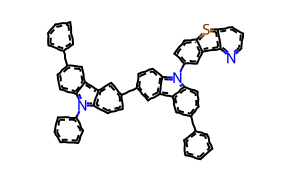 c1ccc(-c2ccc3c(c2)c2cc(-c4ccc5c(c4)c4cc(-c6ccccc6)ccc4n5-c4ccc5sc6cccnc6c5c4)ccc2n3-c2ccccc2)cc1